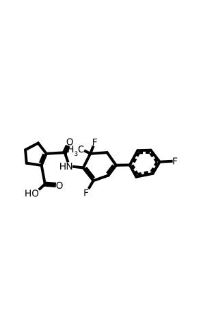 CC1(F)CC(c2ccc(F)cc2)=CC(F)=C1NC(=O)C1=C(C(=O)O)CCC1